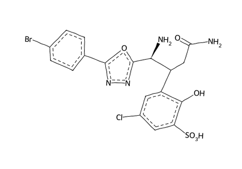 NC(=O)CC(c1cc(Cl)cc(S(=O)(=O)O)c1O)[C@H](N)c1nnc(-c2ccc(Br)cc2)o1